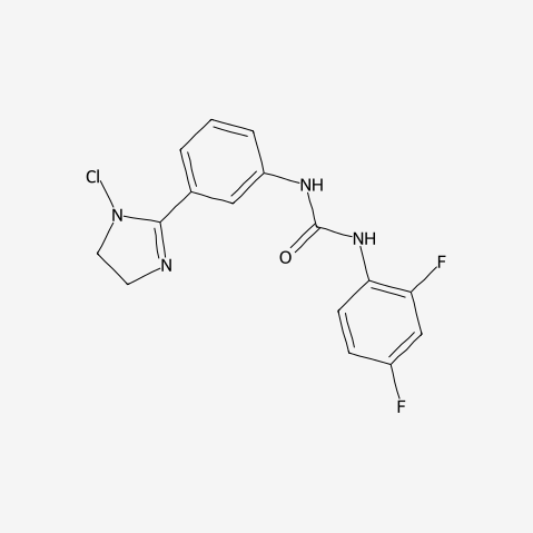 O=C(Nc1cccc(C2=NCCN2Cl)c1)Nc1ccc(F)cc1F